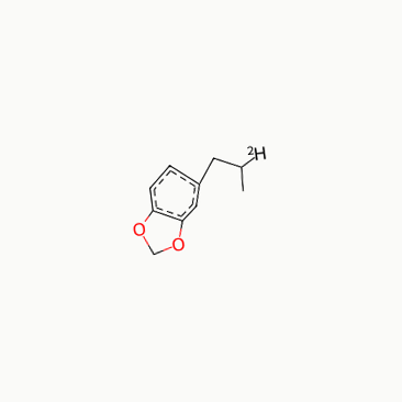 [2H]C(C)Cc1ccc2c(c1)OCO2